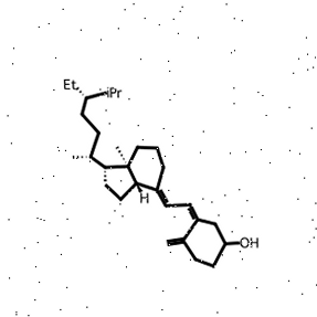 C=C1CCC(O)C/C1=C/C=C1\CCC[C@]2(C)[C@@H]([C@H](C)CC[C@H](CC)C(C)C)CC[C@@H]12